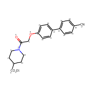 CCOC(=O)C1CCN(C(=O)COc2ccc(-c3ccc(C#N)cc3)cc2)CC1